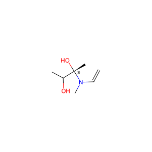 C=CN(C)[C@@](C)(O)C(C)O